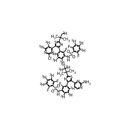 [2H]CC(C)(C)c1nc(-c2c([2H])c([2H])c([2H])c(NS(=O)(=O)c3c(F)c([2H])c([2H])c([2H])c3F)c2F)c(-c2nc(Cl)nc([2H])c2[2H])s1.[2H]c1c([2H])c(F)c(S(=O)(=O)Nc2c([2H])c([2H])c([2H])c(-c3nc(C(C)(C)C([2H])([2H])[2H])sc3-c3ccnc(N)n3)c2F)c(F)c1[2H]